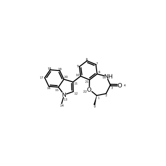 C[C@@H]1CC(=O)Nc2cccc(-c3cn(C)c4ccccc34)c2O1